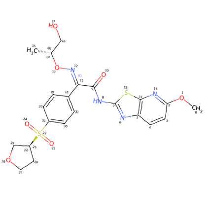 COc1ccc2nc(NC(=O)/C(=N/O[C@H](C)CO)c3ccc(S(=O)(=O)[C@H]4CCOC4)cc3)sc2n1